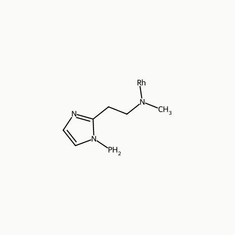 C[N]([Rh])CCc1nccn1P